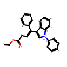 CCOC(=O)C/C=C(\c1ccccc1)c1cn(-c2ccccc2)c2ccccc12